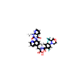 Cc1cc(N2CCOCC2C(F)(F)F)cc(F)c1C(=O)NC(Cc1ccc(-n2c(=O)c3cccnc3n(C)c2=O)c2ncccc12)C(=O)O